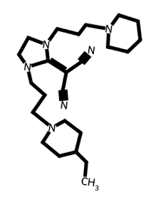 CCC1CCN(CCCN2CCN(CCCN3CCCCC3)C2=C(C#N)C#N)CC1